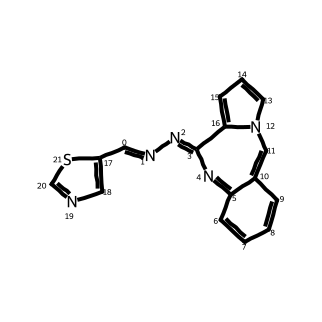 C(=NN=c1nc2ccccc2cn2cccc12)c1cncs1